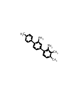 Cc1ccc(-c2ccc(-c3ccc(C)c(C)c3P)cc2P)cc1